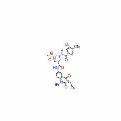 CC(C)n1c(=O)n(CC2CC2)c(=O)c2cc(NC(=O)C3CC(NC(=O)c4ccc(C#N)c(Cl)c4)CN(S(C)(=O)=O)C3)ccc21